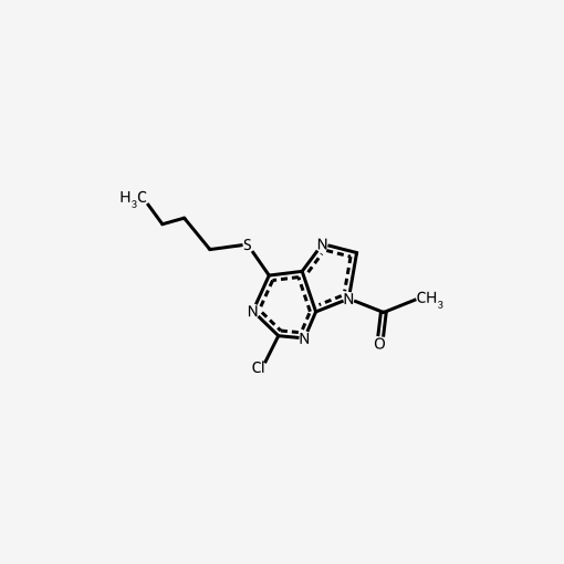 CCCCSc1nc(Cl)nc2c1ncn2C(C)=O